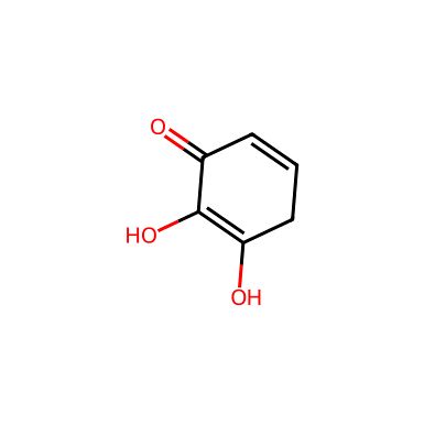 O=C1C=CCC(O)=C1O